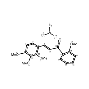 CCN(CC)CC.COc1ccc(C=CC(=O)c2ccccc2OC(C)=O)c(OC)c1OC